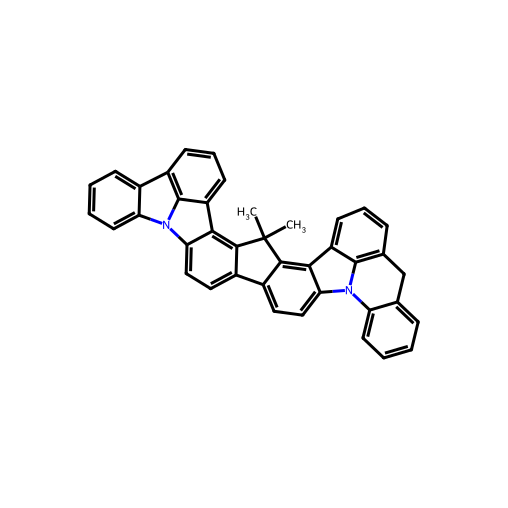 CC1(C)c2c(ccc3c2c2cccc4c2n3-c2ccccc2C4)-c2ccc3c(c21)c1cccc2c4ccccc4n3c21